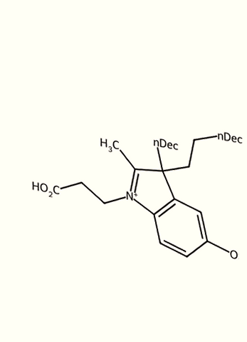 CCCCCCCCCCCCC1(CCCCCCCCCC)C(C)=[N+](CCC(=O)O)c2ccc(OC)cc21